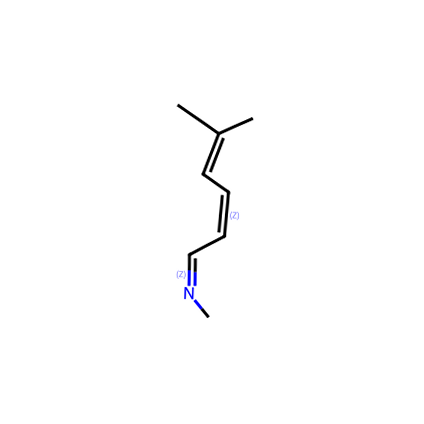 C/N=C\C=C/C=C(C)C